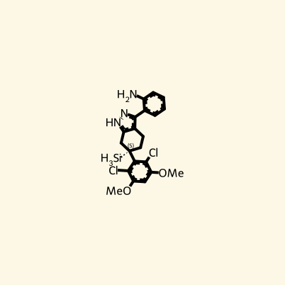 COc1cc(OC)c(Cl)c([C@]2([SiH3])CCc3c(-c4ccccc4N)n[nH]c3C2)c1Cl